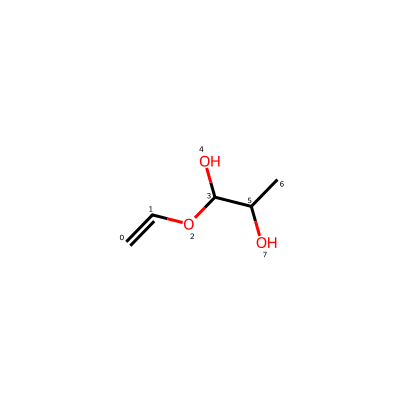 C=COC(O)C(C)O